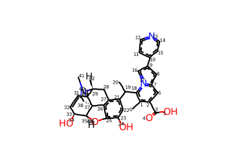 Cc1c(C(=O)O)cc2cc(-c3ccncc3)cn2c1C(C)c1cc(O)c2c3c1C[C@@H]1[C@@H]4C=C[C@H](O)[C@H](O2)[C@]34CCN1C